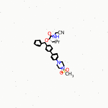 CC(C)C[C@H](O[C@H](c1ccccc1)c1ccc(-c2ccc(N3CCN(S(C)(=O)=O)CC3)cc2)cc1)C(=O)NCC#N